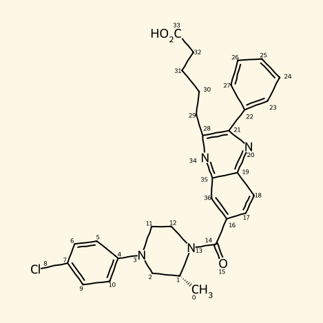 C[C@@H]1CN(c2ccc(Cl)cc2)CCN1C(=O)c1ccc2nc(-c3ccccc3)c(CCCCC(=O)O)nc2c1